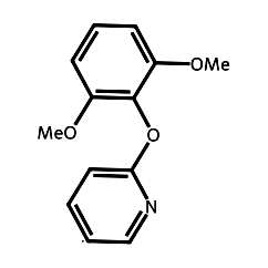 COc1cccc(OC)c1Oc1cc[c]cn1